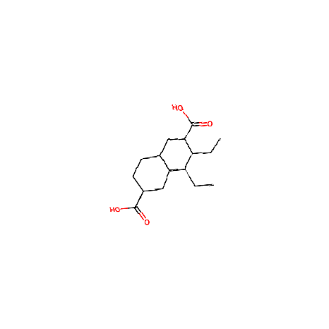 CCC1C(C(=O)O)CC2CCC(C(=O)O)CC2C1CC